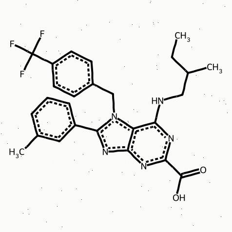 CCC(C)CNc1nc(C(=O)O)nc2nc(-c3cccc(C)c3)n(Cc3ccc(C(F)(F)F)cc3)c12